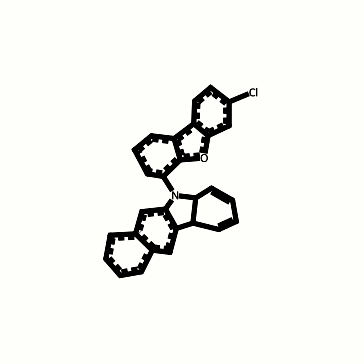 Clc1ccc2c(c1)oc1c(N3c4cc5ccccc5cc4C4C=CC=CC43)cccc12